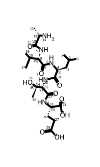 CC(C)C[C@H](NC(=O)[C@@H](NC(=O)[C@H](C)N)C(C)C)C(=O)N[C@H](C(=O)N[C@@H](CCC(=O)O)C(=O)O)[C@@H](C)O